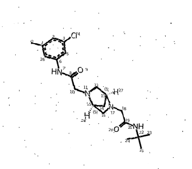 Cc1cc(Cl)cc(NC(=O)CN2C[C@@H]3C[C@H]2CN3CC(=O)NC(C)(C)C)c1